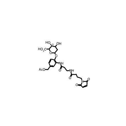 CC(=O)OCc1ccc(OC2CC(O)[C@H](O)C(C(=O)O)O2)c(NC(=O)CCNC(=O)CCCN2C(=O)C=CC2=O)c1